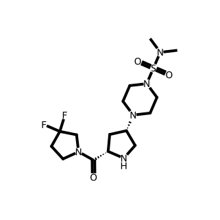 CN(C)S(=O)(=O)N1CCN([C@@H]2CN[C@H](C(=O)N3CCC(F)(F)C3)C2)CC1